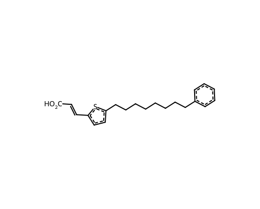 O=C(O)C=Cc1ccc(CCCCCCCCc2ccccc2)s1